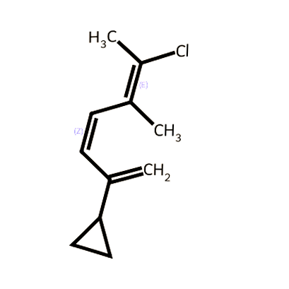 C=C(/C=C\C(C)=C(/C)Cl)C1CC1